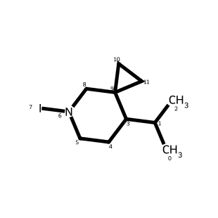 CC(C)C1CCN(I)CC12CC2